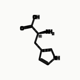 N[C@@H](Cc1cc[nH]c1)C(=O)O